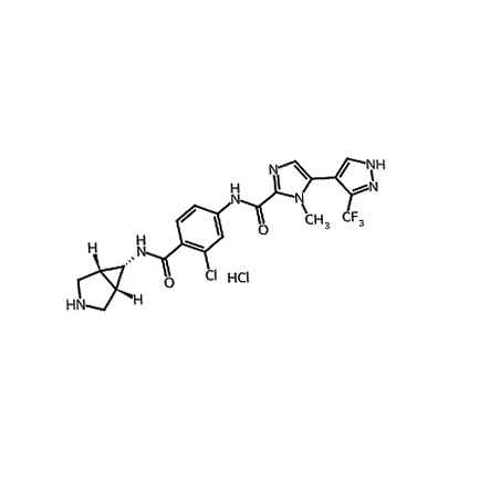 Cl.Cn1c(-c2c[nH]nc2C(F)(F)F)cnc1C(=O)Nc1ccc(C(=O)N[C@@H]2[C@@H]3CNC[C@@H]32)c(Cl)c1